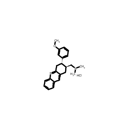 COc1cccc([C@H]2Cc3nc4ccccc4cc3C[C@@H]2CN(C)C)c1.Cl